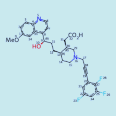 COc1ccc2nccc([C@H](O)CC[C@@H]3CCN(CC#Cc4cc(F)cc(F)c4F)C[C@@H]3CC(=O)O)c2c1